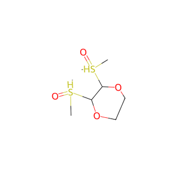 C[SH](C)(=O)C1OCCOC1[SH](C)(C)=O